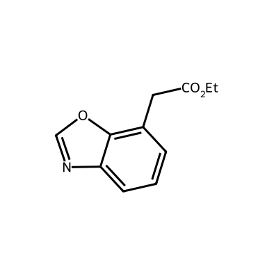 CCOC(=O)Cc1cccc2ncoc12